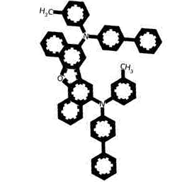 Cc1cccc(N(c2ccc(-c3ccccc3)cc2)c2cc3c4cc(N(c5ccc(-c6ccccc6)cc5)c5cccc(C)c5)c5ccccc5c4oc3c3ccccc23)c1